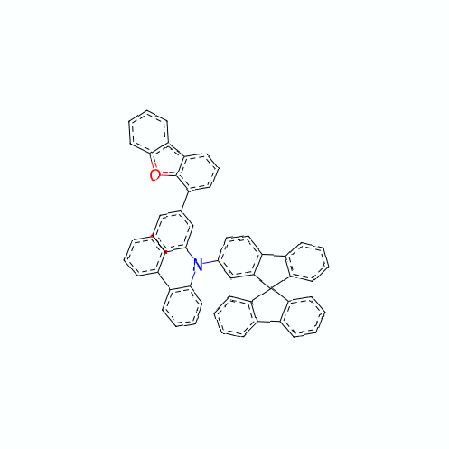 c1ccc(-c2ccccc2N(c2cccc(-c3cccc4c3oc3ccccc34)c2)c2ccc3c(c2)C2(c4ccccc4-c4ccccc42)c2ccccc2-3)cc1